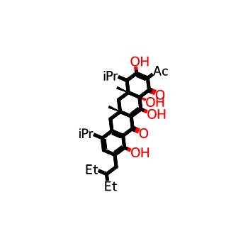 CCC(CC)Cc1cc(C(C)C)c2c(c1O)C(=O)C1=C(O)[C@@]3(O)C(=O)C(C(C)=O)=C(O)C(C(C)C)[C@@]3(C)C[C@@]1(C)C2